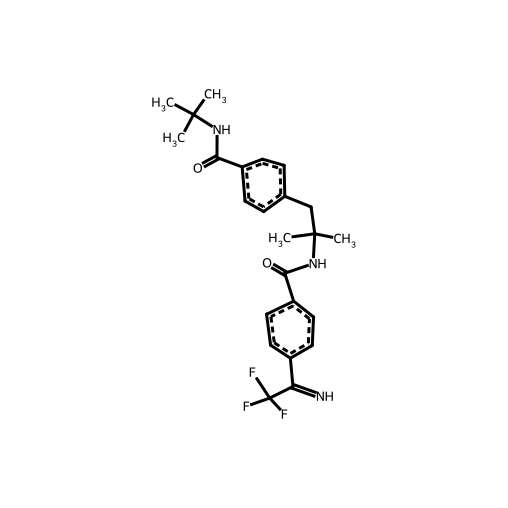 CC(C)(C)NC(=O)c1ccc(CC(C)(C)NC(=O)c2ccc(C(=N)C(F)(F)F)cc2)cc1